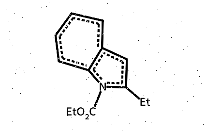 CCOC(=O)n1c(CC)cc2ccccc21